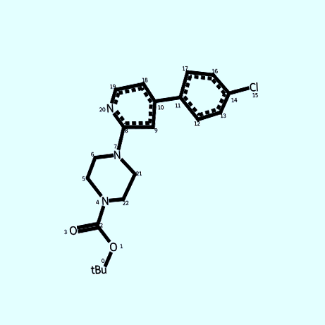 CC(C)(C)OC(=O)N1CCN(c2cc(-c3ccc(Cl)cc3)ccn2)CC1